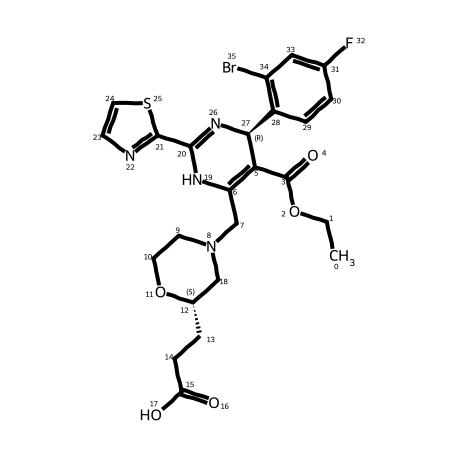 CCOC(=O)C1=C(CN2CCO[C@@H](CCC(=O)O)C2)NC(c2nccs2)=N[C@H]1c1ccc(F)cc1Br